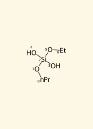 CCCO[Si](O)(O)OCC